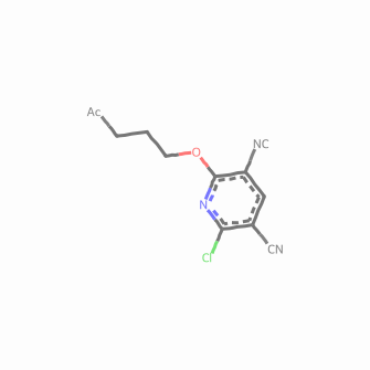 [C-]#[N+]c1cc(C#N)c(Cl)nc1OCCCC(C)=O